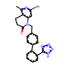 CCCc1cc2c(c(C)n1)CCC(=O)N2Cc1ccc(-c2ccccc2-c2nnn[nH]2)cc1